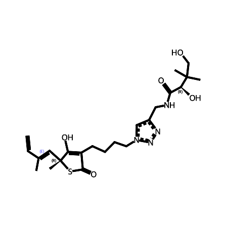 C=C/C(C)=C/[C@@]1(C)SC(=O)C(CCCCn2cc(CNC(=O)[C@H](O)C(C)(C)CO)nn2)=C1O